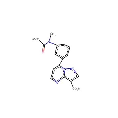 COC(=O)N(C)c1cccc(-c2ccnc3c(C(=O)O)cnn23)c1